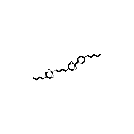 CCCCC[C@H]1CC[C@H]([C@H]2OC[C@H](CCCC[C@H]3OC[C@H](CCCC)CO3)CO2)CC1